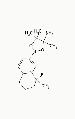 CC1(C)OB(c2ccc3c(c2)C(F)(C(F)(F)F)CCC3)OC1(C)C